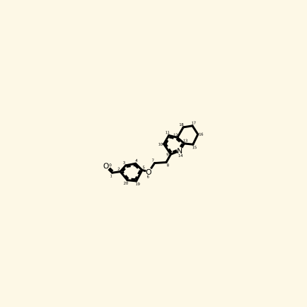 O=Cc1ccc(OCCc2ccc3c(n2)CCCC3)cc1